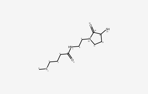 CSCCCC(=O)NCCN1CCC(S)C1=O